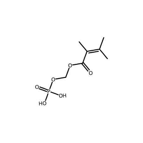 CC(C)=C(C)C(=O)OCOP(=O)(O)O